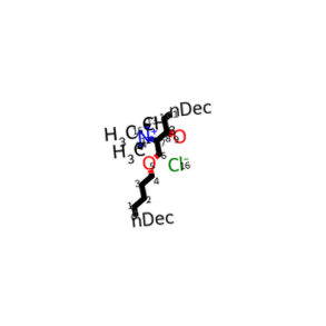 CCCCCCCCCCCCCCOCC(C(=O)CCCCCCCCCCC)[N+](C)(C)C.[Cl-]